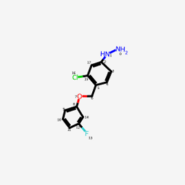 NNc1ccc(COc2cccc(F)c2)c(Cl)c1